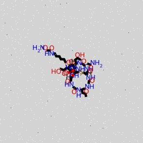 CC[C@H](C)[C@@H]1NC(=O)CNC(=O)[C@H]2Cc3c([nH]c4cc(OCCCCCCNC(=O)CON)ccc34)SC[C@H](NC(=O)CNC1=O)C(=O)N[C@@H](CC(N)=O)C(=O)N1C[C@H](O)C[C@H]1C(=O)N[C@@H]([C@@H](C)[C@@H](O)CO)C(=O)N2